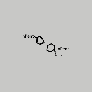 CCCCCc1ccc([C@H]2CC[C@@](C)(CCCCC)CC2)cc1